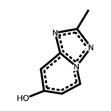 Cc1nc2cc(O)ccn2n1